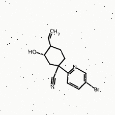 C=CC1CCC(C#N)(c2ccc(Br)cn2)CC1O